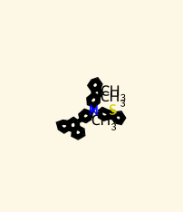 Cc1cc(-c2cc3ccccc3c3ccccc23)ccc1N(c1ccc2c(c1)C(C)(C)c1ccccc1-2)c1ccc2c(c1)sc1ccccc12